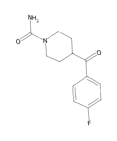 NC(=O)N1CCC(C(=O)c2ccc(F)cc2)CC1